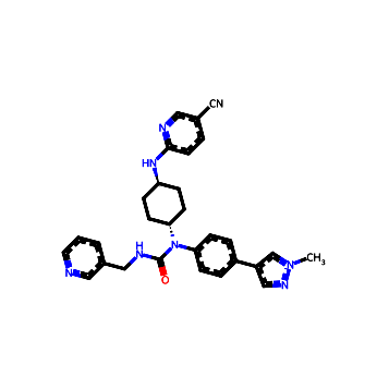 Cn1cc(-c2ccc(N(C(=O)NCc3cccnc3)[C@H]3CC[C@H](Nc4ccc(C#N)cn4)CC3)cc2)cn1